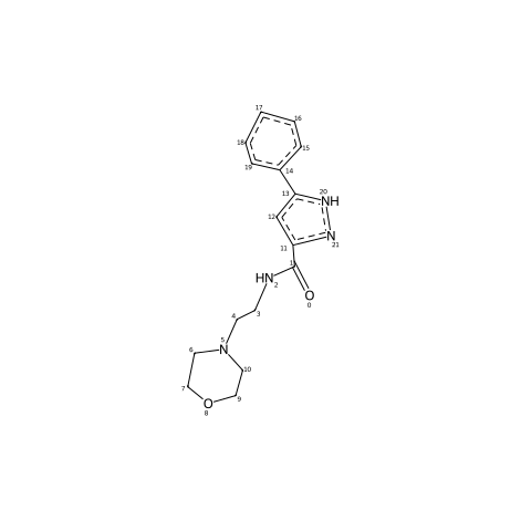 O=C(NCCN1CCOCC1)c1cc(-c2ccccc2)[nH]n1